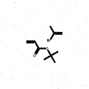 C=C(C)Br.C=CC(=O)OC(C)(C)C